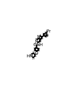 CC(C)n1cc(-c2cnc3cnc(NC(=O)c4ccc(OC5CCNCC5)cc4)cc3c2)cn1